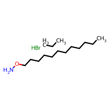 Br.CCC.CCCCCCCCCCCCON